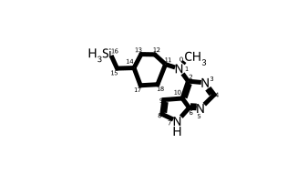 CN(c1ncnc2[nH]ccc12)C1CCC(C[SiH3])CC1